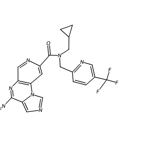 Nc1nc2cnc(C(=O)N(Cc3ccc(C(F)(F)F)cn3)CC3CC3)cc2n2cncc12